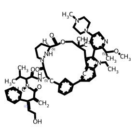 C=C(C(=O)N(C)C(C(=O)N[C@H]1Cc2cccc(c2)-c2ccc3c(c2)c(c(-c2cc(N4CCN(C)CC4)cnc2[C@H](C)OC)n3CC)CC(C)(C)COC(=O)[C@@H]2CCCN(N2)C1=O)C(C)C)/C(=C\CO)c1ccccc1